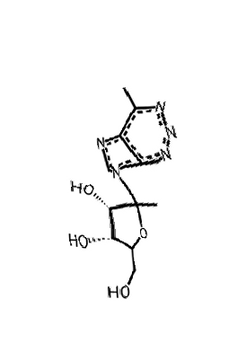 Cc1nnnc2c1ncn2C1(C)OC(CO)[C@H](O)[C@@H]1O